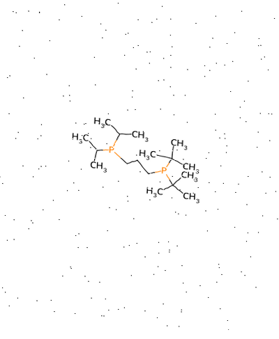 CC(C)P(CCCP(C(C)(C)C)C(C)(C)C)C(C)C